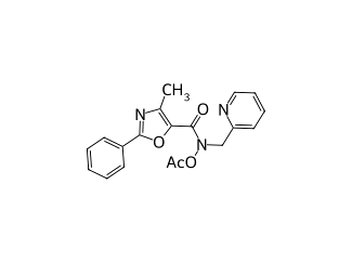 CC(=O)ON(Cc1ccccn1)C(=O)c1oc(-c2ccccc2)nc1C